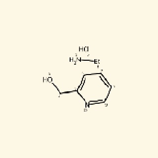 CCN.Cl.OCc1ccccn1